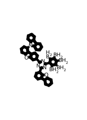 Bc1c(B)c(B)c(-c2nc(-c3ccc4c(c3)oc3cccc(-n5c6ccccc6c6ccccc65)c34)nc(-c3cccc4c3oc3ccccc34)n2)c(B)c1B